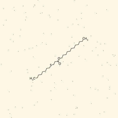 CCCCCCCCCCCCOC(=O)CCSCCCCCCCC